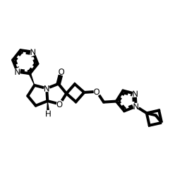 O=C1N2[C@@H](CC[C@H]2c2cnccn2)OC12CC(OCc1cnn(C34CC(C3)C4)c1)C2